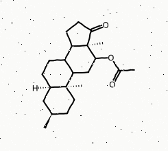 CC(=O)OC1CC2C(CC[C@@H]3C[C@H](C)CC[C@]23C)C2CCC(=O)[C@@]12C